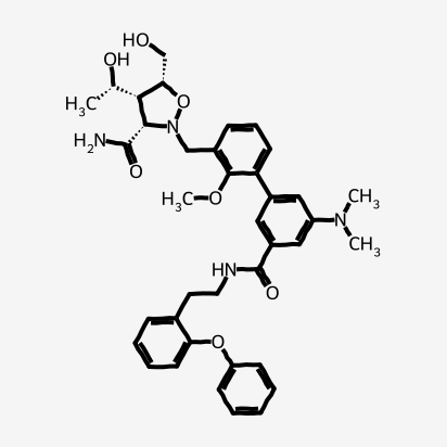 COc1c(CN2O[C@@H](CO)[C@@H]([C@H](C)O)[C@H]2C(N)=O)cccc1-c1cc(C(=O)NCCc2ccccc2Oc2ccccc2)cc(N(C)C)c1